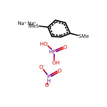 CSc1ccc(SC)cc1.O=[PH](O)O.O=[PH]([O-])[O-].[Na+].[Na+]